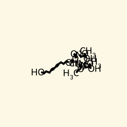 CCOC(=O)N(CC)CC(=O)O.CCOC(=O)N(CC)CC(=O)O.OCCCC#CC#CCCCO